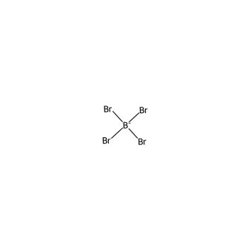 Br[B-](Br)(Br)Br